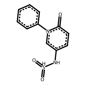 O=c1ccc(N[SH](=O)=O)cn1-c1ccccc1